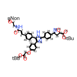 CCCCCCCCCOCCNC(=O)/C=C/c1ccc(-c2[nH]c(-c3ccc(C4=NOC(C(=O)OC(C)(C)C)C4)cc3)nc2-c2ccc(OCC(=O)OC(C)(C)C)cc2)cc1